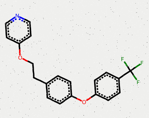 FC(F)(F)c1ccc(Oc2ccc(CCOc3ccncc3)cc2)cc1